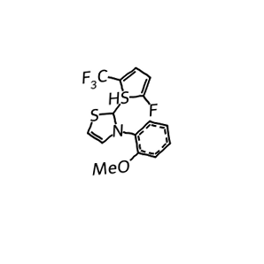 COc1ccccc1N1C=CSC1[SH]1C(F)=CC=C1C(F)(F)F